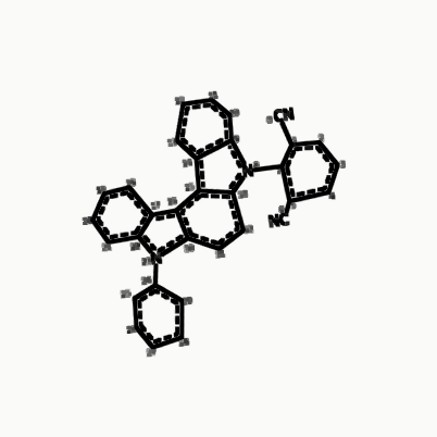 N#Cc1cccc(C#N)c1-n1c2ccccc2c2c3c4ccccc4n(-c4ccccc4)c3ccc21